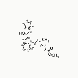 COC(=O)CCC[C@@H](C)CCCN1C(=O)CCC[C@@H]1/C=C/C(O)Cc1ccccc1